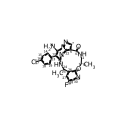 C[C@H]1CNC(=O)c2cnn3c(N)c(-c4ccc(Cl)cc4)c(nc23)N[C@H](C)c2cc(F)cnc2O1